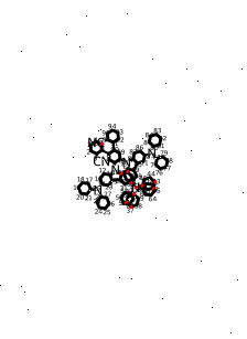 N#Cc1ccccc1-c1cc(-n2c3ccc(N(c4ccccc4)c4ccccc4)cc3c3cc(N(c4ccccc4)c4ccccc4)ccc32)c(-n2c3ccc(N(c4ccccc4)c4ccccc4)cc3c3cc(N(c4ccccc4)c4ccccc4)ccc32)cc1-c1ccccc1C#N